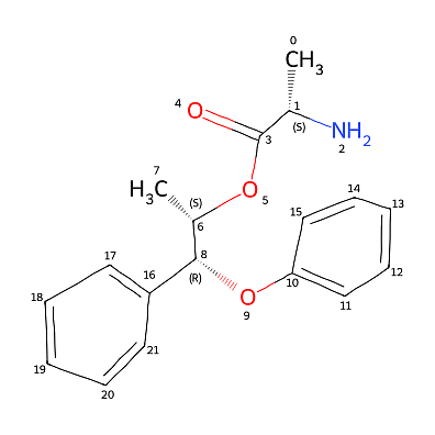 C[C@H](N)C(=O)O[C@@H](C)[C@H](Oc1ccccc1)c1ccccc1